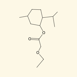 CCOCC(=O)OC1CC(C)CCC1C(C)C